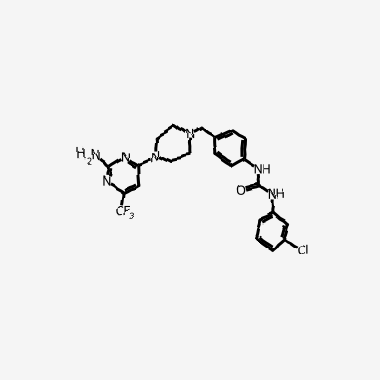 Nc1nc(N2CCN(Cc3ccc(NC(=O)Nc4cccc(Cl)c4)cc3)CC2)cc(C(F)(F)F)n1